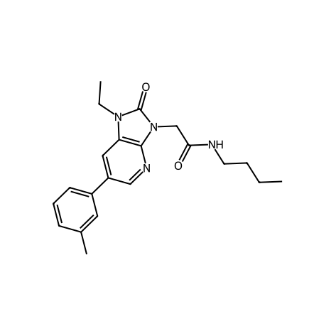 CCCCNC(=O)Cn1c(=O)n(CC)c2cc(-c3cccc(C)c3)cnc21